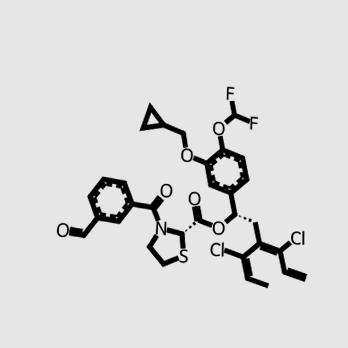 C=C/C(Cl)=C(C[C@H](OC(=O)[C@@H]1SCCN1C(=O)c1cccc(C=O)c1)c1ccc(OC(F)F)c(OCC2CC2)c1)\C(Cl)=C/C